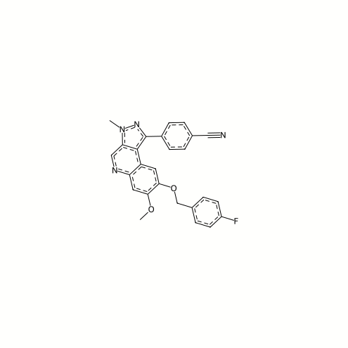 COc1cc2ncc3c(c(-c4ccc(C#N)cc4)nn3C)c2cc1OCc1ccc(F)cc1